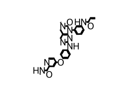 C=CC(=O)Nc1cccc(N2C(=O)N(C)Cc3cnc(Nc4ccc(Oc5ccnc(C(=O)NC)c5)cc4)nc32)c1